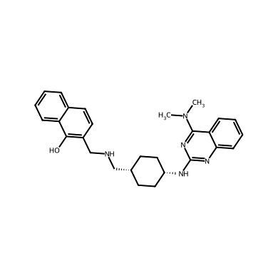 CN(C)c1nc(N[C@H]2CC[C@@H](CNCc3ccc4ccccc4c3O)CC2)nc2ccccc12